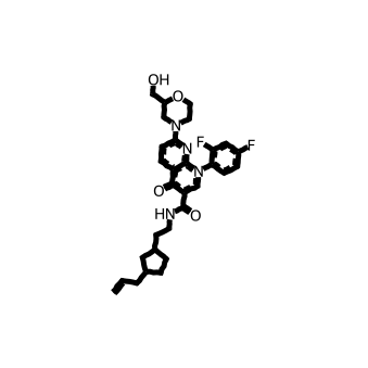 C=CCC1CCC(CCNC(=O)c2cn(-c3ccc(F)cc3F)c3nc(N4CCOC(CO)C4)ccc3c2=O)C1